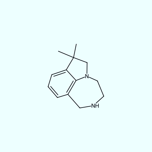 CC1(C)CN2CCNCc3cccc1c32